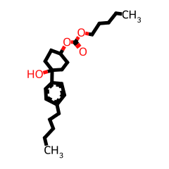 CCCCCOC(=O)OC1CCC(O)(c2ccc(CCCCC)cc2)CC1